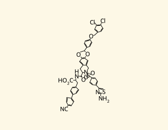 N#Cc1ccc(-c2ccc(CC(NC(=O)C3Cc4cc5c(cc4CN3S(=O)(=O)c3ccc(-c4csc(N)n4)cc3)OC(c3ccc(OCc4ccc(Cl)c(Cl)c4)cc3)CO5)C(=O)O)cc2)cc1